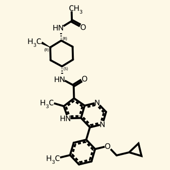 CC(=O)N[C@@H]1CC[C@H](NC(=O)c2c(C)[nH]c3c(-c4cc(C)ccc4OCC4CC4)ncnc23)C[C@H]1C